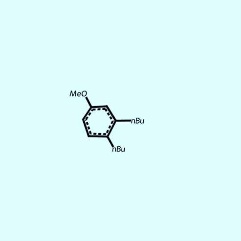 CCCCc1ccc(OC)cc1CCCC